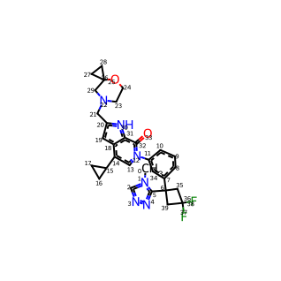 Cn1cnnc1C1(c2cccc(-n3cc(C4CC4)c4cc(CN5CCOC6(CC6)C5)[nH]c4c3=O)c2)CC(F)(F)C1